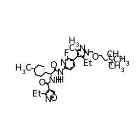 CCc1nocc1C(=O)N[C@H](C(=O)Nc1ccc(-c2c(C)nn(COCCS(C)(C)C)c2CC)c(F)n1)[C@H]1CC[C@H](C)CC1